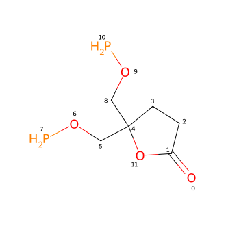 O=C1CCC(COP)(COP)O1